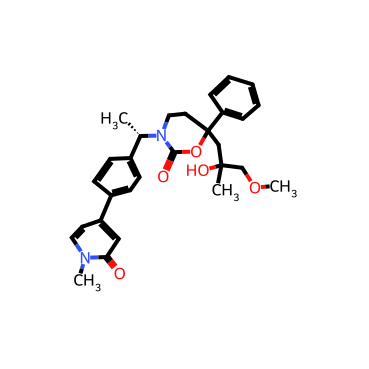 COCC(C)(O)CC1(c2ccccc2)CCN([C@@H](C)c2ccc(-c3ccn(C)c(=O)c3)cc2)C(=O)O1